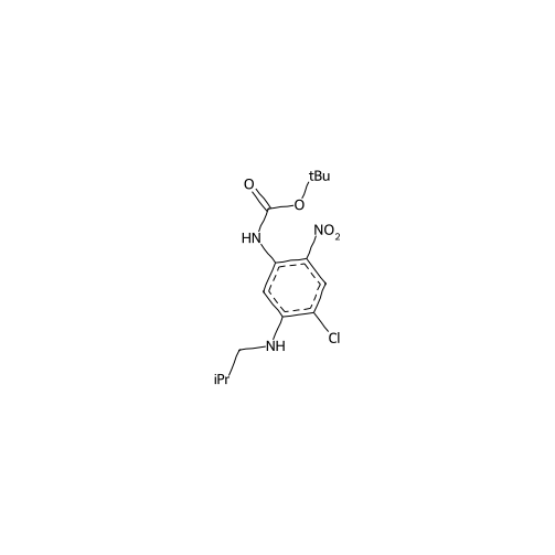 CC(C)CNc1cc(NC(=O)OC(C)(C)C)c([N+](=O)[O-])cc1Cl